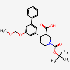 COCOc1cc(-c2ccccc2)cc([C@H]2CCN(C(=O)OC(C)(C)C)C[C@@H]2C(=O)O)c1